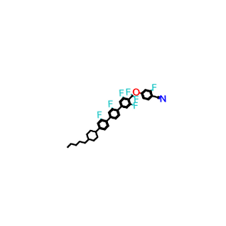 CCCCCC1CCC(c2ccc(-c3ccc(-c4cc(F)c(C(F)(F)Oc5ccc(C#N)c(F)c5)c(F)c4)c(F)c3)c(F)c2)CC1